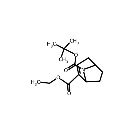 CCOC(=O)C1=CCC2CCC1N2C(=O)OC(C)(C)C